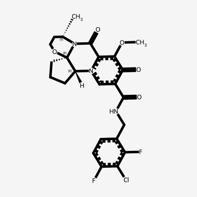 COc1c2n(cc(C(=O)NCc3ccc(F)c(Cl)c3F)c1=O)[C@@H]1CCC[C@@]13OCC[C@H](C)N3C2=O